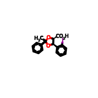 CC1(c2ccccc2)O[C@H](C(=O)O)[C@@H](c2ccccc2I)O1